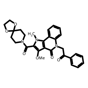 COc1c(C(=O)N2CCC3(CC2)OCCO3)n(C)c2c1c(=O)n(CC(=O)c1ccccc1)c1ccccc21